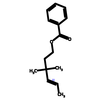 C/C=C/C(C)(C)CCOC(=O)c1ccccc1